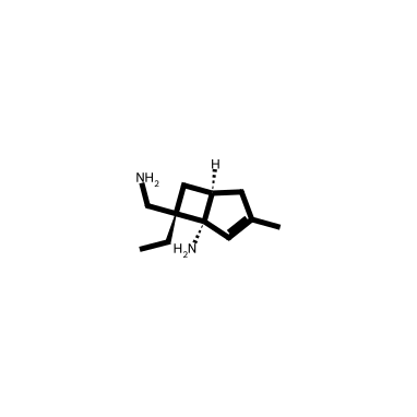 CC[C@@]1(CN)C[C@H]2CC(C)=C[C@]21N